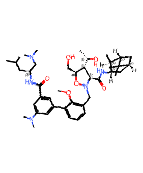 COc1c(CN2O[C@@H](CO)[C@H]([C@H](C)O)[C@H]2C(=O)N[C@H]2C[C@H]3C[C@@H]([C@@H]2C)C3(C)C)cccc1-c1cc(C(=O)N[C@@H](CC(C)C)CN(C)C)cc(N(C)C)c1